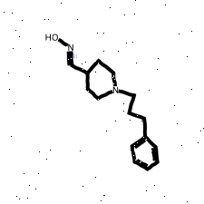 O/N=C/C1CCN(CCCc2ccccc2)CC1